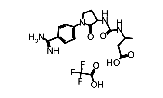 CC(CC(=O)O)NC(=O)NC1CCN(c2ccc(C(=N)N)cc2)C1=O.O=C(O)C(F)(F)F